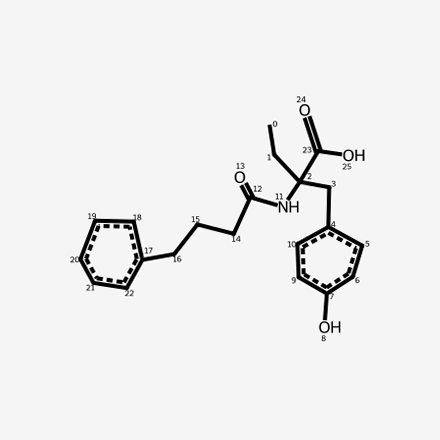 CCC(Cc1ccc(O)cc1)(NC(=O)CCCc1ccccc1)C(=O)O